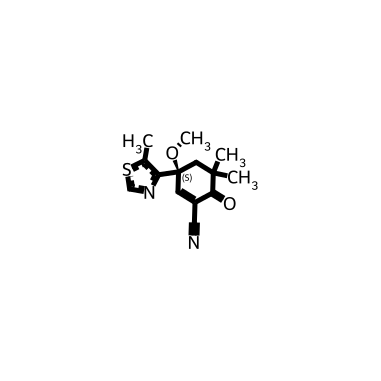 CO[C@]1(c2ncsc2C)C=C(C#N)C(=O)C(C)(C)C1